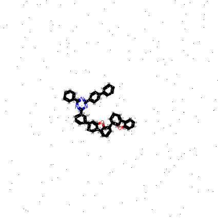 c1ccc(-c2ccc(-c3nc(-c4ccccc4)nc(-c4cccc(-c5ccc6c(c5)oc5c(-c7cccc8c7oc7ccccc78)cccc56)c4)n3)cc2)cc1